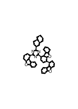 c1ccc2cc(-c3nc(-c4cccc5oc6ccccc6c45)nc(-c4ccc(-c5cccc6oc7ccccc7c56)c5oc6ccccc6c45)n3)ccc2c1